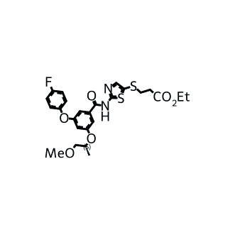 CCOC(=O)CCSc1cnc(NC(=O)c2cc(Oc3ccc(F)cc3)cc(O[C@@H](C)COC)c2)s1